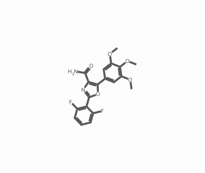 COc1cc(-c2oc(-c3c(F)cccc3F)nc2C(N)=O)cc(OC)c1OC